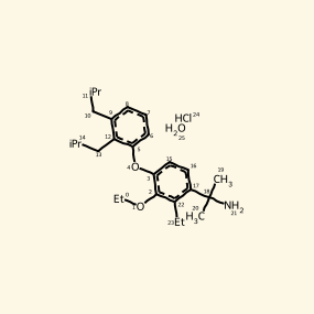 CCOc1c(Oc2cccc(CC(C)C)c2CC(C)C)ccc(C(C)(C)N)c1CC.Cl.O